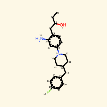 CCC(O)Cc1ccc(N2CCC(Cc3ccc(F)cc3)CC2)cc1N